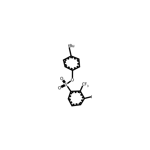 CC(C)(C)c1ccc(OS(=O)(=O)c2cccc(I)c2C(F)(F)F)cc1